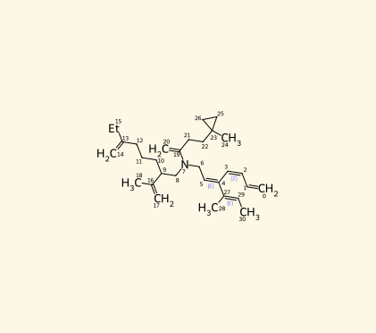 C=C\C=C/C(=C\CN(CC(CCCC(=C)CC)C(=C)C)C(=C)CCC1(C)CC1)C(/C)=C/C